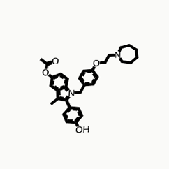 CC(=O)Oc1ccc2c(c1)c(C)c(-c1ccc(O)cc1)n2Cc1ccc(OCCN2CCCCCC2)cc1